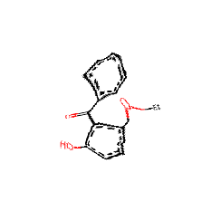 [CH2]COc1cccc(O)c1C(=O)c1ccccc1